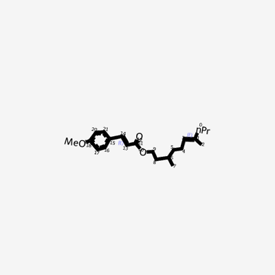 CCC/C(C)=C/CCC(C)CCOC(=O)/C=C/c1ccc(OC)cc1